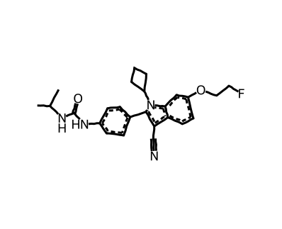 CC(C)NC(=O)Nc1ccc(-c2c(C#N)c3ccc(OCCF)cc3n2C2CCC2)cc1